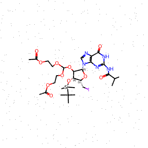 CC(=O)OCCOC(OCCOC(C)=O)OC1[C@@H](O[Si](C)(C)C(C)(C)C)[C@@H](CI)O[C@H]1n1cnc2c(=O)[nH]c(NC(=O)C(C)C)nc21